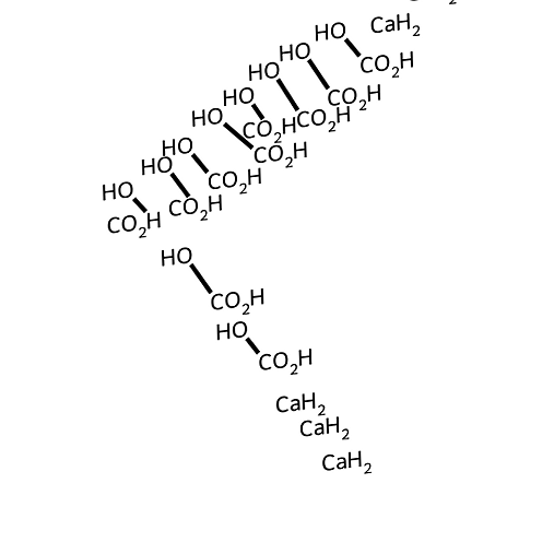 O=C(O)O.O=C(O)O.O=C(O)O.O=C(O)O.O=C(O)O.O=C(O)O.O=C(O)O.O=C(O)O.O=C(O)O.O=C(O)O.[CaH2].[CaH2].[CaH2].[CaH2].[CaH2]